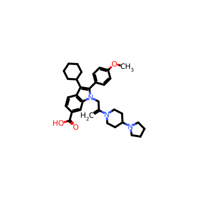 C=C(Cn1c(-c2ccc(OC)cc2)c(C2CCCCC2)c2ccc(C(=O)O)cc21)N1CCC(N2CCCC2)CC1